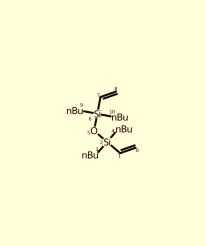 C=C[Si](CCCC)(CCCC)O[Si](C=C)(CCCC)CCCC